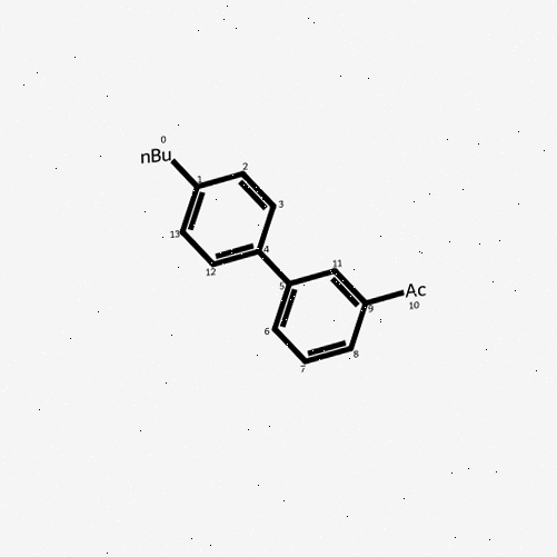 CCCCc1ccc(-c2cccc(C(C)=O)c2)cc1